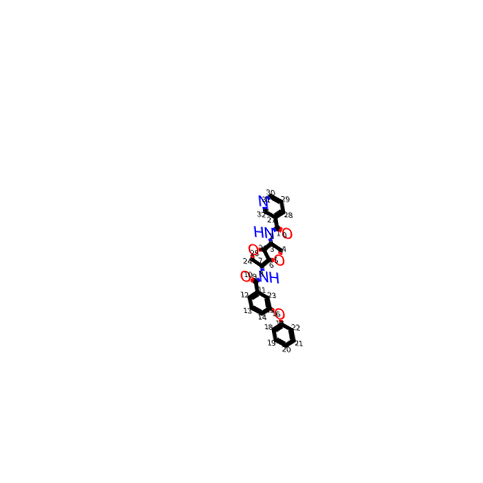 O=C(NC1COC2C(NC(=O)c3cccc(Oc4ccccc4)c3)COC12)c1cccnc1